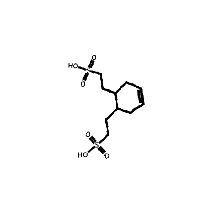 O=S(=O)(O)CCC1CC=CCC1CCS(=O)(=O)O